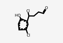 O=CCCC(Cl)c1cc(Cl)ccc1O